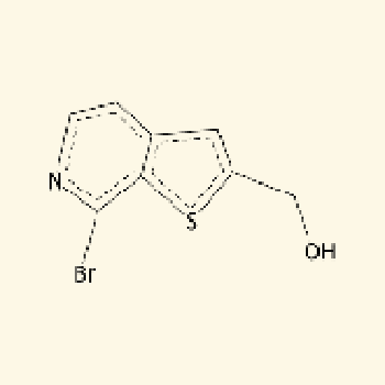 OCc1cc2ccnc(Br)c2s1